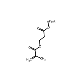 C=C(C)C(=O)OCCC(=O)OCCCCC